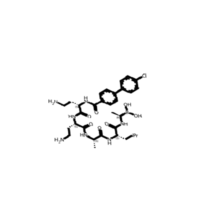 CC(C)C[C@H](NC(=O)[C@H](C)NC(=O)[C@H](CCN)NC(=O)[C@H](CCN)NC(=O)c1ccc(-c2ccc(Cl)cc2)cc1)C(=O)N[C@@H](C)B(O)O